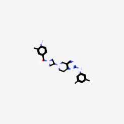 Cc1cc(C)cc(Nc2ncc3c(n2)CCN(C2CN(C(=O)c4ccc(N)c(C)c4)C2)C3)c1